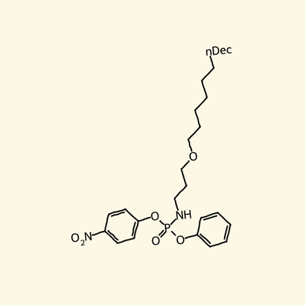 CCCCCCCCCCCCCCCCOCCCNP(=O)(Oc1ccccc1)Oc1ccc([N+](=O)[O-])cc1